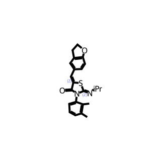 Cc1cccc(N2C(=O)/C(=C/c3ccc4c(c3)CCO4)S/C2=N\C(C)C)c1C